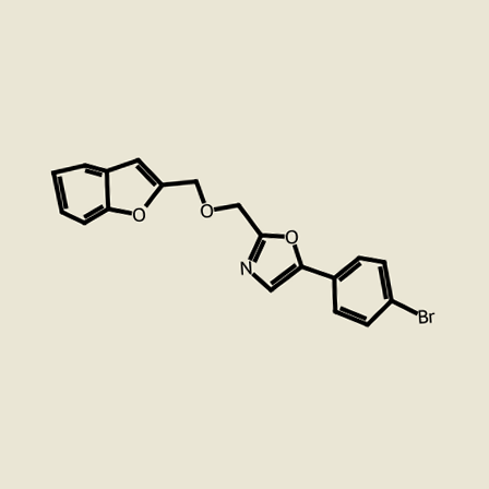 Brc1ccc(-c2cnc(COCc3cc4ccccc4o3)o2)cc1